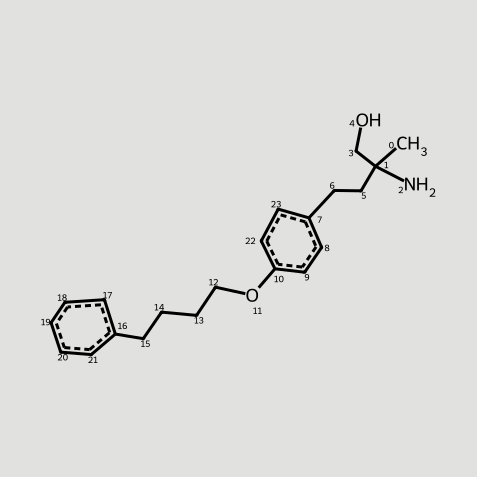 CC(N)(CO)CCc1ccc(OCCCCc2ccccc2)cc1